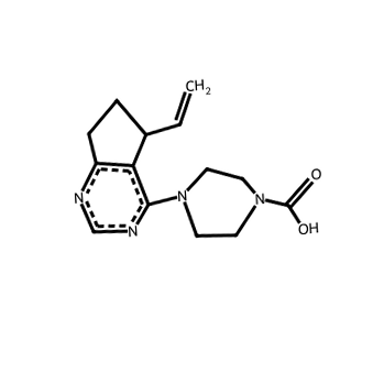 C=CC1CCc2ncnc(N3CCN(C(=O)O)CC3)c21